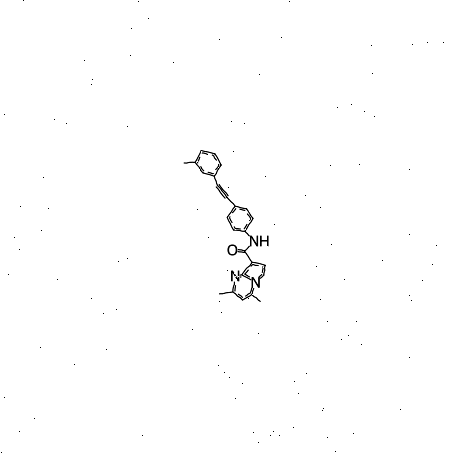 Cc1cccc(C#Cc2ccc(NC(=O)c3ccn4c(C)cc(C)nc34)cc2)c1